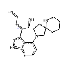 N=C/C=C(\C=N)c1c[nH]c2nccc(N3CCC4(CCCCN4)C3)c12